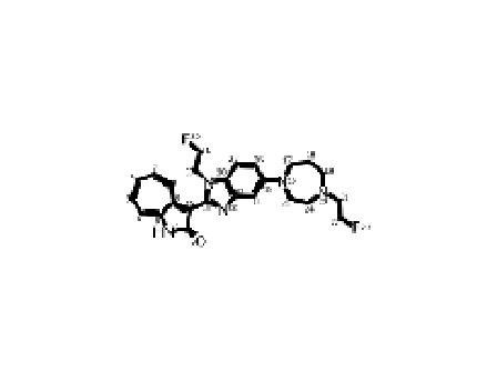 O=c1[nH]c2cccccc-2c1-c1nc2cc(N3CCCN(CCF)CC3)ccc2n1CCF